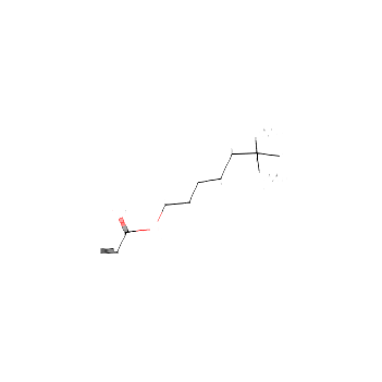 C=CC(=O)OCCCCCC([SiH3])(OC)OC